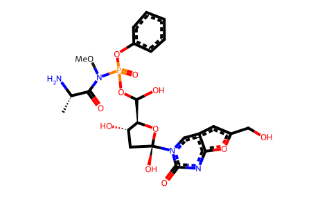 CON(C(=O)[C@H](C)N)P(=O)(Oc1ccccc1)OC(O)[C@H]1O[C@](O)(n2cc3cc(CO)oc3nc2=O)C[C@@H]1O